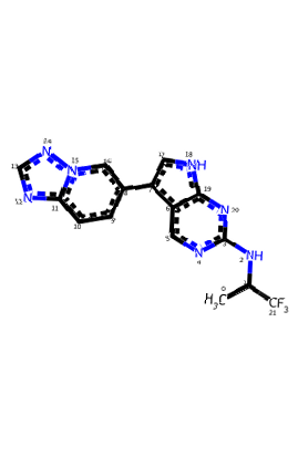 CC(Nc1ncc2c(-c3ccc4ncnn4c3)c[nH]c2n1)C(F)(F)F